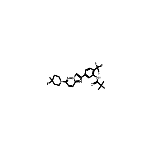 CC(C)(C)C(=O)Nc1cc(-c2cn3nc(N4CCC(F)(F)CC4)ccc3n2)ccc1C(F)(F)F